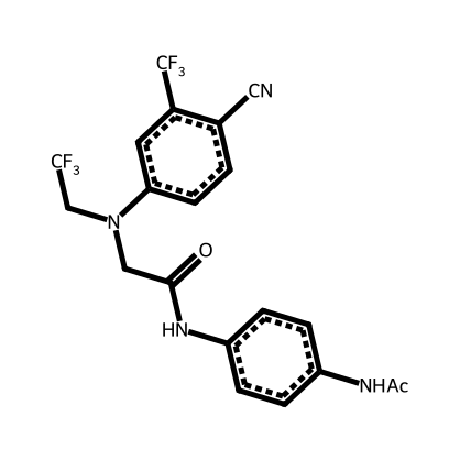 CC(=O)Nc1ccc(NC(=O)CN(CC(F)(F)F)c2ccc(C#N)c(C(F)(F)F)c2)cc1